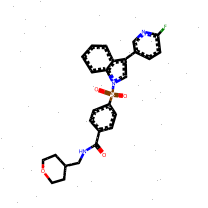 O=C(NCC1CCOCC1)c1ccc(S(=O)(=O)n2cc(-c3ccc(F)nc3)c3ccccc32)cc1